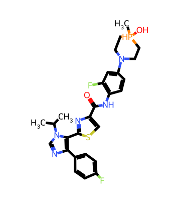 CC(C)n1cnc(-c2ccc(F)cc2)c1-c1nc(C(=O)Nc2ccc(N3CC[PH](C)(O)CC3)cc2F)cs1